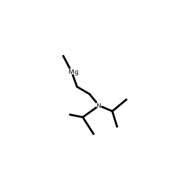 [CH3][Mg][CH2]CN(C(C)C)C(C)C